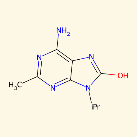 Cc1nc(N)c2nc(O)n(C(C)C)c2n1